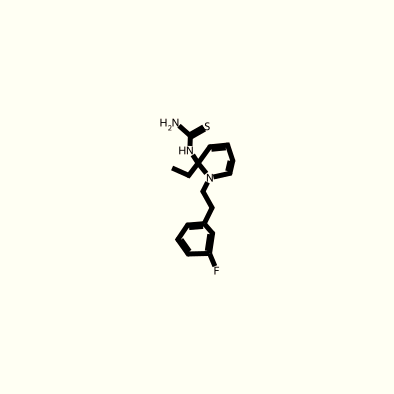 CCC1(NC(N)=S)C=CC=CN1CCc1cccc(F)c1